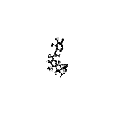 C[C@@H]1COC23COCC[C@@H]2n2cc(C(=O)NCc4ccc(F)c(Cl)c4F)c(=O)c(O)c2C(=O)N13